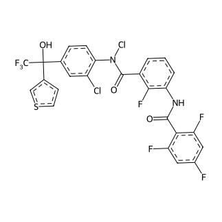 O=C(Nc1cccc(C(=O)N(Cl)c2ccc(C(O)(c3ccsc3)C(F)(F)F)cc2Cl)c1F)c1c(F)cc(F)cc1F